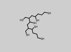 SCCCC(S)CC(CS)C(S)CC(CS)C(S)CCCS